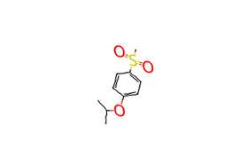 CC(C)Oc1ccc(S(C)(=O)=O)cc1